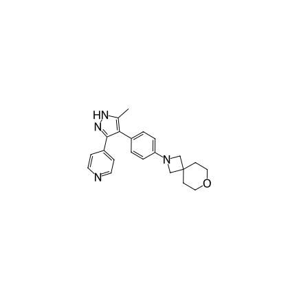 Cc1[nH]nc(-c2ccncc2)c1-c1ccc(N2CC3(CCOCC3)C2)cc1